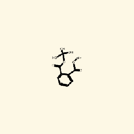 CCCOC(=O)c1ccccc1C(=O)OC(O)(O)O